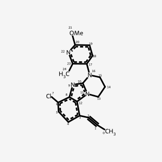 CC#Cc1ccc(Cl)c2nc3n(c12)CCCN3c1ccc(OC)nc1C